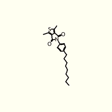 CCCCCCCCCc1ccc(N2C(=O)c3c(C)sc(C)c3C2=O)cc1